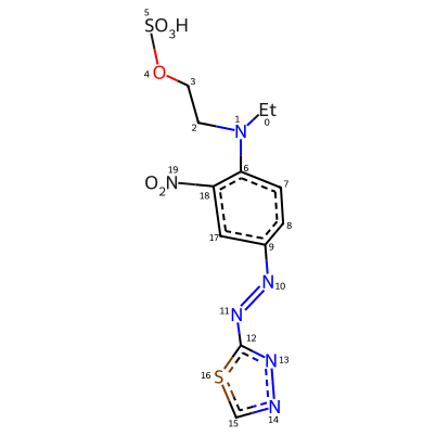 CCN(CCOS(=O)(=O)O)c1ccc(N=Nc2nncs2)cc1[N+](=O)[O-]